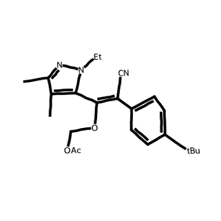 CCn1nc(C)c(C)c1/C(OCOC(C)=O)=C(\C#N)c1ccc(C(C)(C)C)cc1